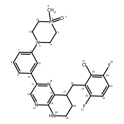 CP1(=O)CCN(c2cccc(-c3cnc4c(n3)C(Cc3c(F)ccc(F)c3Cl)CCN4)c2)CC1